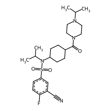 CC(C)N1CCN(C(=O)C2CCC(N(C(C)C)S(=O)(=O)c3ccc(F)c(C#N)c3)CC2)CC1